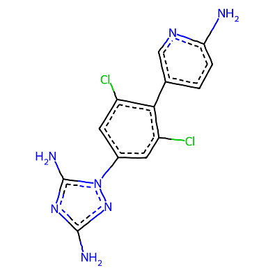 Nc1ccc(-c2c(Cl)cc(-n3nc(N)nc3N)cc2Cl)cn1